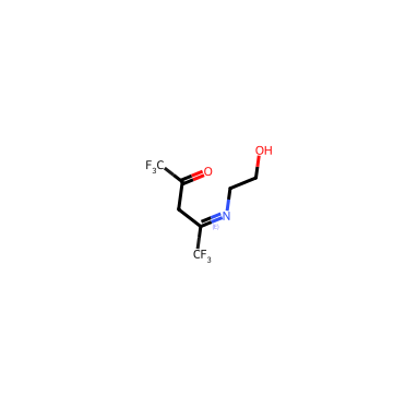 O=C(C/C(=N\CCO)C(F)(F)F)C(F)(F)F